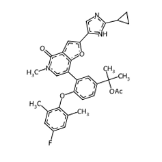 CC(=O)OC(C)(C)c1ccc(Oc2c(C)cc(F)cc2C)c(-c2cn(C)c(=O)c3cc(-c4cnc(C5CC5)[nH]4)oc23)c1